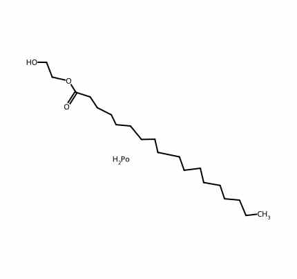 CCCCCCCCCCCCCCCCCC(=O)OCCO.[PoH2]